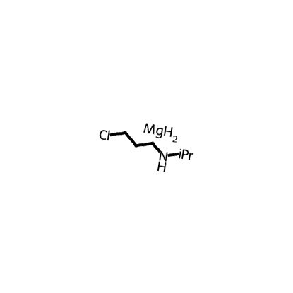 CC(C)NCCCCl.[MgH2]